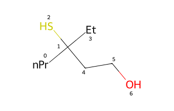 CCCC(S)(CC)CCO